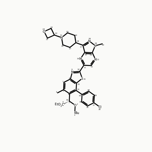 CCOC(=O)[C@@H](OC(C)(C)C)c1c(C)cc2nc(-c3cnc4c(n3)c(C3CCN(C5COC5)CC3)nn4C)sc2c1-c1ccc(Cl)cc1